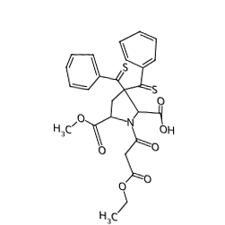 CCOC(=O)CC(=O)N1C(C(=O)OC)CC(C(=S)c2ccccc2)(C(=S)c2ccccc2)C1C(=O)O